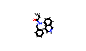 C=CC(=O)NCc1ccccc1.c1ccc2cnccc2c1